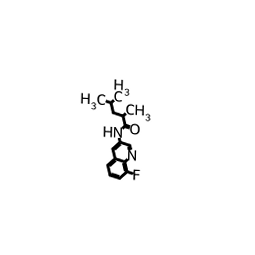 CC(C)CC(C)C(=O)Nc1cnc2c(F)cccc2c1